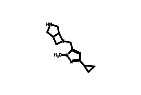 Cn1nc(C2CC2)cc1CN1CC2CNCC21